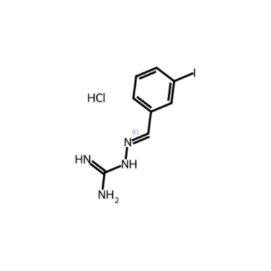 Cl.N=C(N)N/N=C/c1cccc(I)c1